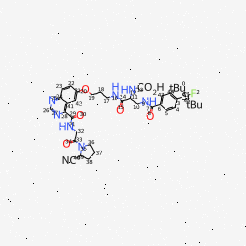 CC(C)(C)[Si](F)(c1ccc(C(=O)NCC(NC(=O)O)C(=O)NCCCOc2ccc3ncnc(C(=O)NCC(=O)N4CCC[C@H]4C#N)c3c2)cc1)C(C)(C)C